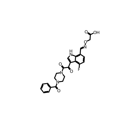 O=C(O)CON=Cc1ccc(F)c2c(C(=O)C(=O)N3CCN(C(=O)c4ccccc4)CC3)c[nH]c12